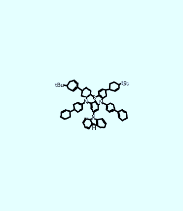 CC(C)(C)C1C=CC(C2C=CC3=C(C2)N(C2=CC=C(C4=CCCC=C4)CC2)c2cc(N4C5=C(CCC=C5)[C@@H]5C=CC=CC54)cc4c2B3C2CCC(C3=CCC(C(C)(C)C)CC=C3)CC2N4C2=CCC(C3C=CCCC3)CC2)CC1